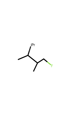 CC(C)C(C)C(C)CF